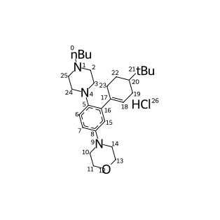 CCCCN1CCN(c2ccc(N3CCOCC3)cc2C2=CCC(C(C)(C)C)CC2)CC1.Cl